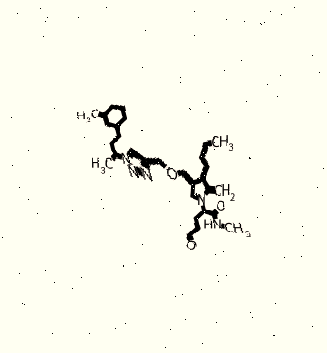 C=C1CCCC(CCC(C)n2cc(CO\C=C3/CN(C(CCC=O)C(=O)NC)C(=C)/C3=C/C=C\C)nn2)C1